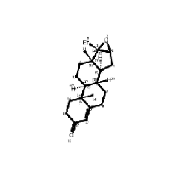 CC[C@@]12OC1C[C@H]1[C@@H]3CCC4=CC(=O)CC[C@]4(C)[C@H]3CC[C@@]12C